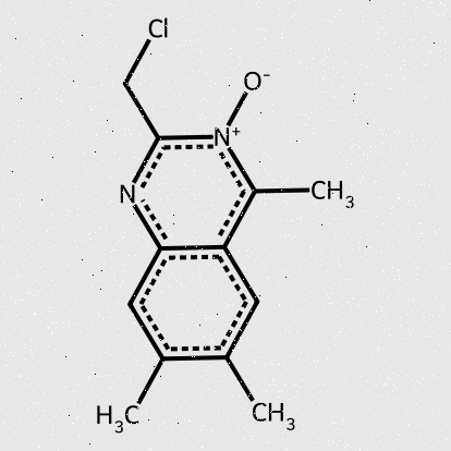 Cc1cc2nc(CCl)[n+]([O-])c(C)c2cc1C